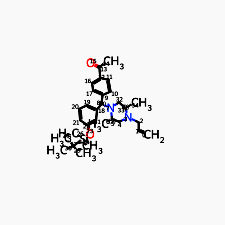 C=CCN1C[C@H](C)N([C@H](c2ccc(C(C)=O)cc2)c2cccc(O[Si](C)(C)C(C)(C)C)c2)C[C@H]1C